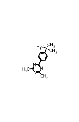 Cc1nc(C)nc(-c2ccc([Si](C)(C)C)cc2)n1